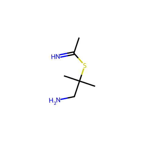 CC(=N)SC(C)(C)CN